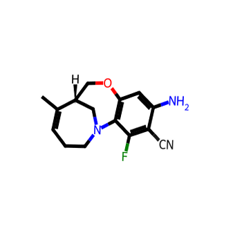 CC1=CCCN2C[C@H]1COc1cc(N)c(C#N)c(F)c12